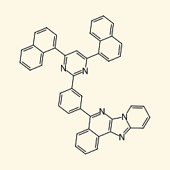 c1cc(-c2nc(-c3cccc4ccccc34)cc(-c3cccc4ccccc34)n2)cc(-c2nc3c(nc4ccccn43)c3ccccc23)c1